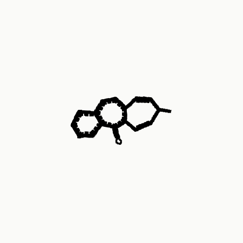 CC1C=Cc2ccc3ccccc3c(=O)c2C=C1